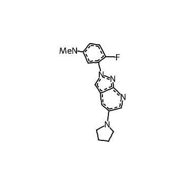 CNc1ccc(F)c(-n2cc3cc(N4CCCC4)cnc3n2)c1